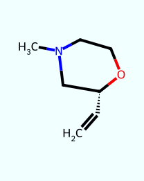 C=C[C@@H]1CN(C)CCO1